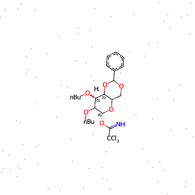 CCCCOC1[C@@H](OC(=N)C(Cl)(Cl)Cl)OC2COC(c3ccccc3)O[C@@H]2[C@@H]1OCCCC